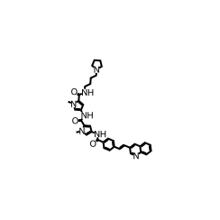 Cn1cc(NC(=O)c2cc(NC(=O)c3ccc(/C=C/c4cnc5ccccc5c4)cc3)cn2C)cc1C(=O)NCCCCN1CCCC1